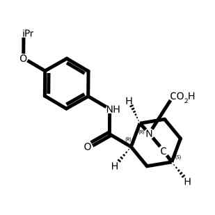 CC(C)Oc1ccc(NC(=O)[C@@H]2C[C@@H]3CC[C@H]2N(C(=O)O)C3)cc1